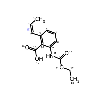 C/C=C\c1cccc(NC(=O)OCC)c1C(=O)O